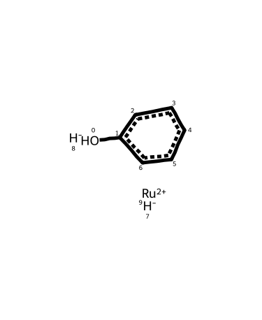 Oc1ccccc1.[H-].[H-].[Ru+2]